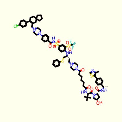 Cc1ncsc1-c1ccc([C@H](C)NC(=O)[C@@H]2C[C@@H](O)CN2C(=O)[C@@H](NC(=O)CCCCCC(=O)N2CCN(CC[C@H](CSc3ccccc3)Nc3ccc(S(=O)(=O)NC(=O)c4ccc(N5CCN(CC6=C(c7ccc(Cl)cc7)CCC7(CCCC7)C6)CC5)cc4)cc3S(=O)(=O)C(F)(F)F)CC2)C(C)(C)C)cc1